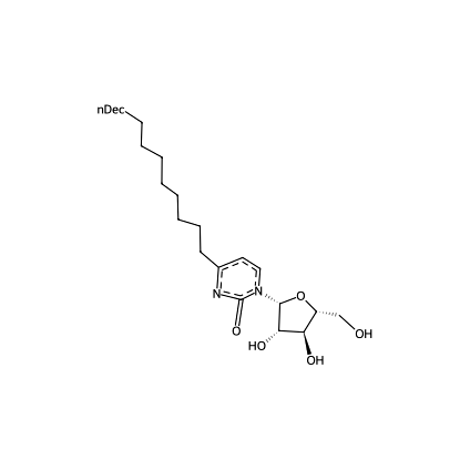 CCCCCCCCCCCCCCCCCCc1ccn([C@@H]2O[C@H](CO)[C@@H](O)[C@@H]2O)c(=O)n1